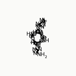 Nc1ncnc2c1ncn2[C@@H]1C[C@@H]2COP(=O)(S)O[C@H]3C[C@H](n4cnc5c4ncn4ccnc54)O[C@@H]3COP(=O)(S)OC[C@H]21